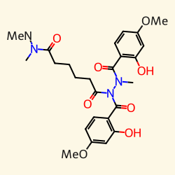 CNN(C)C(=O)CCCCC(=O)N(C(=O)c1ccc(OC)cc1O)N(C)C(=O)c1ccc(OC)cc1O